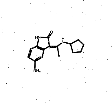 C/C(NC1CCCC1)=C1/C(=O)Nc2ccc(N)cc21